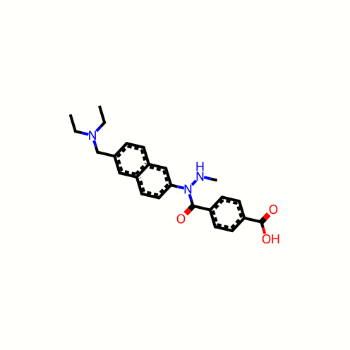 CCN(CC)Cc1ccc2cc(N(NC)C(=O)c3ccc(C(=O)O)cc3)ccc2c1